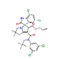 C=CCOC(=O)C1C(C(=O)N(CC(C)(C)C)c2cc(Cl)cc(Cl)c2)C2CC(C)(C)CN2C12C(=O)Nc1c(Cl)cc(Cl)cc12